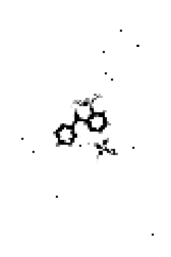 CS(=O)(=O)Cl.O=C(c1ccccc1)c1ccccc1[N+](=O)[O-]